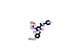 CCc1c(NC(=O)OC(C)(C)C)cc(-c2csc(-c3ccncc3)n2)c(=O)n1Cc1ccc(OC)cc1